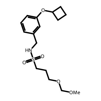 COCOCCCS(=O)(=O)NCc1cccc(OC2CCC2)c1